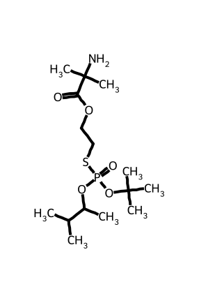 CC(C)C(C)OP(=O)(OC(C)(C)C)SCCOC(=O)C(C)(C)N